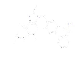 CCCC(=O)Nc1c(C)nc2c(nc(CCC)n2Cc2ccc(-c3ccccc3S(N)(=O)=O)cc2)c1C